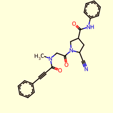 CN(CC(=O)N1CC(C(=O)Nc2ccccc2)CC1C#N)C(=O)C#Cc1ccccc1